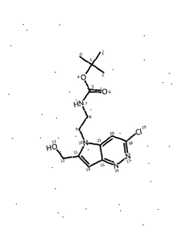 CC(C)(C)OC(=O)NCCn1c(CO)cc2nnc(Cl)cc21